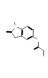 CCN1C(=O)Cc2cc(OC(=O)CCl)ccc21